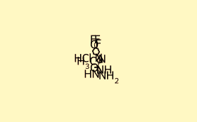 Cc1c(C(=O)NC(=N)N)cnn1-c1ccc(OC(F)(F)F)cc1.Cl